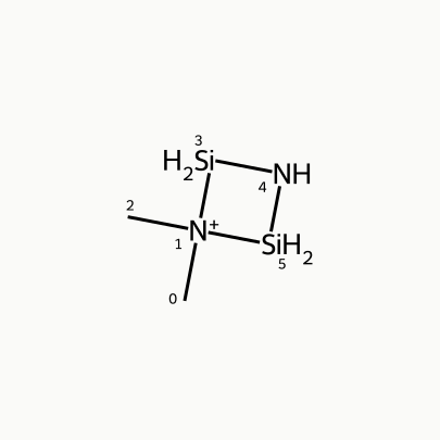 C[N+]1(C)[SiH2]N[SiH2]1